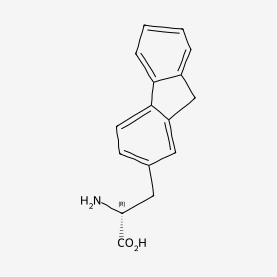 N[C@H](Cc1ccc2c(c1)Cc1ccccc1-2)C(=O)O